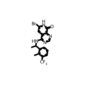 Cc1c(C(C)Nc2ncnc3c(=O)[nH]c(Br)cc23)cccc1C(F)(F)F